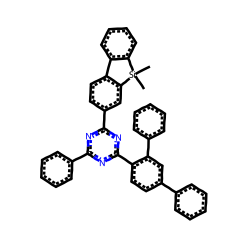 C[Si]1(C)c2ccccc2-c2ccc(-c3nc(-c4ccccc4)nc(-c4ccc(-c5ccccc5)cc4-c4ccccc4)n3)cc21